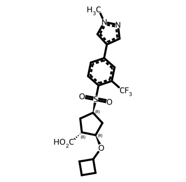 Cn1cc(-c2ccc(S(=O)(=O)[C@H]3C[C@@H](OC4CCC4)[C@H](C(=O)O)C3)c(C(F)(F)F)c2)cn1